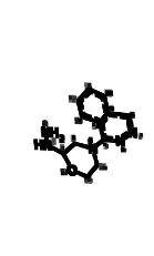 NNC1CN(c2nncc3ccccc23)CCO1